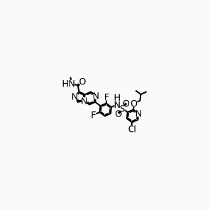 CNC(=O)c1ncn2cc(-c3c(F)ccc(NS(=O)(=O)c4cc(Cl)cnc4OCC(C)C)c3F)ncc12